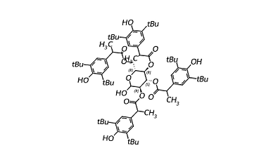 CC(C(=O)OC[C@H]1OC(O)[C@H](OC(=O)C(C)c2cc(C(C)(C)C)c(O)c(C(C)(C)C)c2)[C@@H](OC(=O)C(C)c2cc(C(C)(C)C)c(O)c(C(C)(C)C)c2)[C@@H]1OC(=O)C(C)c1cc(C(C)(C)C)c(O)c(C(C)(C)C)c1)c1cc(C(C)(C)C)c(O)c(C(C)(C)C)c1